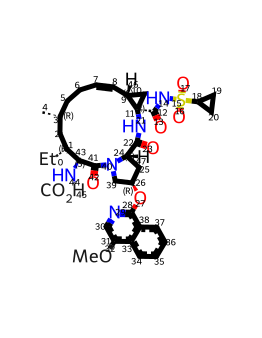 CC[C@@H]1C[C@H](C)CCC=C[C@@H]2C[C@@]2(C(=O)NS(=O)(=O)C2CC2)NC(=O)[C@@H]2C[C@@H](Oc3ncc(OC)c4ccccc34)CN2C(=O)[C@H]1NC(=O)O